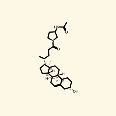 CC(=O)NC1CCN(C(=O)CCC(C)[C@H]2CC[C@H]3[C@@H]4CC=C5C[C@@H](O)CC[C@]5(C)[C@H]4CC[C@]23C)C1